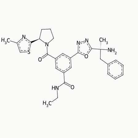 CCNC(=O)c1cc(C(=O)N2CCC[C@@H]2c2nc(C)cs2)cc(-c2nnc([C@@](C)(N)Cc3ccccc3)o2)c1